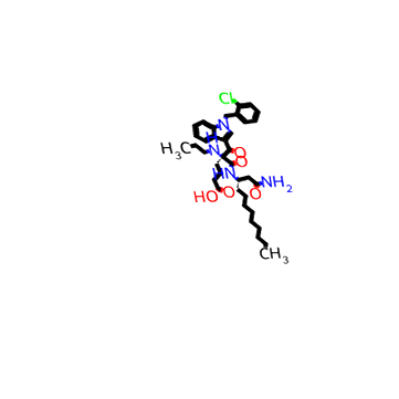 CCCCCCCCC[C@@H](CC(N)=O)NC(=O)[C@@](CCCC(=O)O)(NCCC)C(=O)c1cn(Cc2ccccc2Cl)c2ccccc12